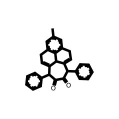 Cc1cc2c3c(c1)CC=C1C(c4ccccc4)C(=O)C(=O)C(c4ccccc4)C(=CC2)C13